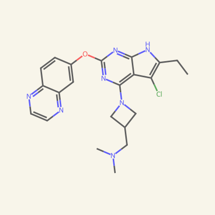 CCc1[nH]c2nc(Oc3ccc4nccnc4c3)nc(N3CC(CN(C)C)C3)c2c1Cl